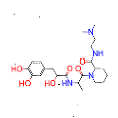 CC(NC(=O)C(O)Cc1ccc(O)c(O)c1)C(=O)N1CCCCC1C(=O)NCCN(C)C